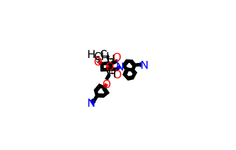 CC[C@@]12O[C@@](CCOc3ccc(C#N)cc3)(CC1OC)[C@@H]1C(=O)N(c3ccc(C#N)c4ccccc34)C(=O)[C@@H]12